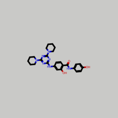 O=C(Nc1ccc(O)cc1)c1ccc(Nc2nc(N3CCCCC3)nc(N3CCCCC3)n2)cc1O